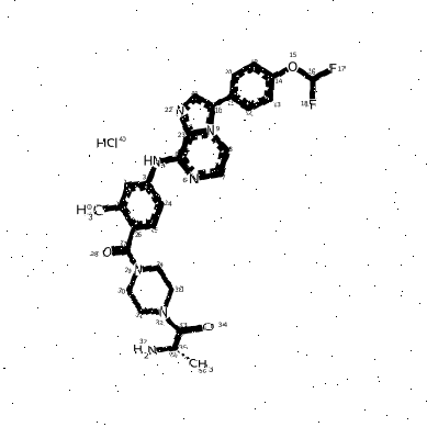 Cc1cc(Nc2nccn3c(-c4ccc(OC(F)F)cc4)cnc23)ccc1C(=O)N1CCN(C(=O)[C@H](C)N)CC1.Cl